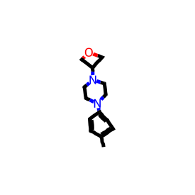 Cc1ccc(N2CCN(C3COC3)CC2)cc1